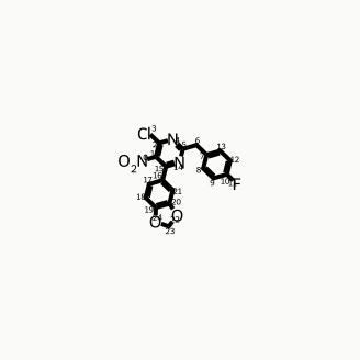 O=[N+]([O-])c1c(Cl)nc(Cc2ccc(F)cc2)nc1-c1ccc2c(c1)OCO2